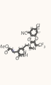 COC(=O)/C=C/c1cc(Cn2cnc(C(F)(F)F)c(Oc3cc(Cl)cc(C#N)c3)c2=O)n[nH]c1=O